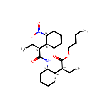 CCCCOC(=O)[C@@H](CC)[C@@H]1CCCC[C@@H]1NC(=O)[C@@H](CC)[C@@H]1CCCC[C@@H]1[N+](=O)[O-]